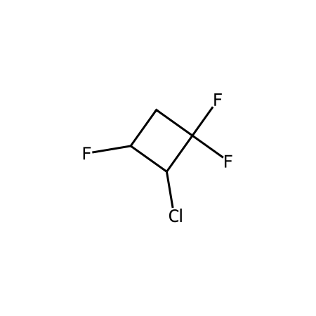 FC1CC(F)(F)C1Cl